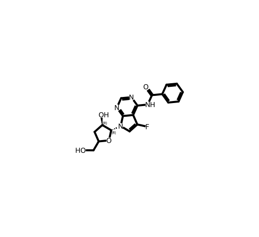 O=C(Nc1ncnc2c1c(F)cn2[C@@H]1OC(CO)C[C@H]1O)c1ccccc1